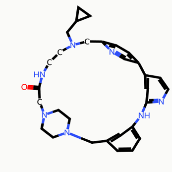 O=C1CN2CCN(CC2)Cc2cccc(c2)Nc2cc(ccn2)-c2ccc(nc2)CN(CC2CC2)CCN1